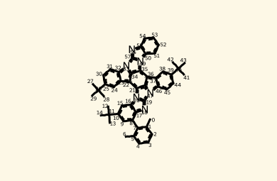 Cc1cccc(C)c1-c1cc(C(C)(C)C)cc2c1nc1n2c2c3c4cc(C(C)(C)C)ccc4n4c3c(c3c5cc(C(C)(C)C)ccc5n1c32)n1c2ccccc2nc14